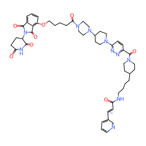 O=C(/C=C/c1cccnc1)NCCCCC1CCN(C(=O)c2ccc(N3CCC(N4CCN(C(=O)CCCCOc5cccc6c5C(=O)N(C5CCC(=O)NC5=O)C6=O)CC4)CC3)nn2)CC1